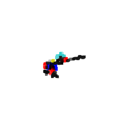 CCCCCCCCOc1ccc(-c2nnc([C@]3(C)CO[C@H](C(C)(C)C)N3C(=O)OC(C)(C)C)s2)cc1C(F)(F)F